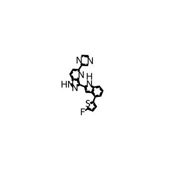 Fc1ccc(-c2cccc3[nH]c(-c4n[nH]c5ccc(-c6cnccn6)nc45)cc23)s1